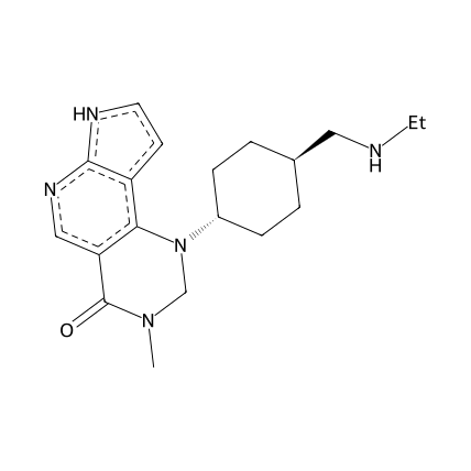 CCNC[C@H]1CC[C@H](N2CN(C)C(=O)c3cnc4[nH]ccc4c32)CC1